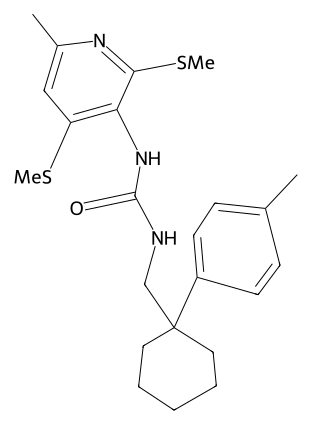 CSc1cc(C)nc(SC)c1NC(=O)NCC1(c2ccc(C)cc2)CCCCC1